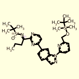 CCC/C(=N\[S@+]([O-])C(C)(C)C)c1nccc(-c2ccc3cnn(-c4cccc(CO[Si](C)(C)C(C)(C)C)n4)c3c2)n1